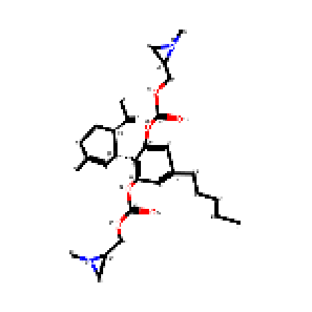 C=C(C)[C@@H]1CCC(C)=C[C@H]1c1c(OC(=O)OCC2CN2C)cc(CCCCC)cc1OC(=O)OCC1CN1C